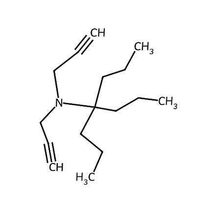 C#CCN(CC#C)C(CCC)(CCC)CCC